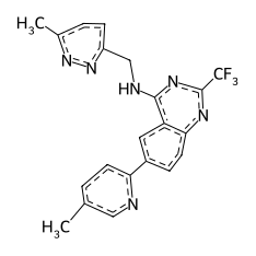 Cc1ccc(-c2ccc3nc(C(F)(F)F)nc(NCc4ccc(C)nn4)c3c2)nc1